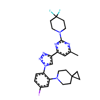 Cc1cc(-c2cn(-c3ccc(I)cc3N3CCC4(CC3)CC4)nn2)nc(N2CCC(F)(F)CC2)n1